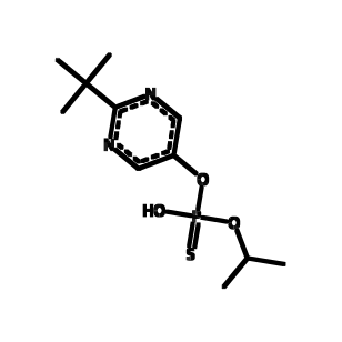 CC(C)OP(O)(=S)Oc1cnc(C(C)(C)C)nc1